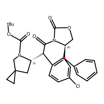 CC(C)(C)OC(=O)N1CC2(CC2)C[C@H]1C(C(=O)N1C(=O)OC[C@H]1Cc1ccccc1)c1ccc(Cl)cc1